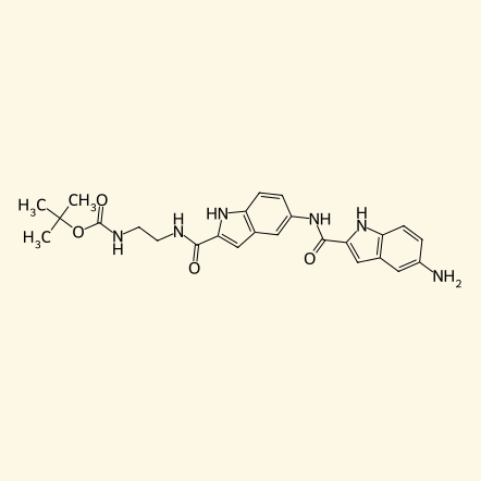 CC(C)(C)OC(=O)NCCNC(=O)c1cc2cc(NC(=O)c3cc4cc(N)ccc4[nH]3)ccc2[nH]1